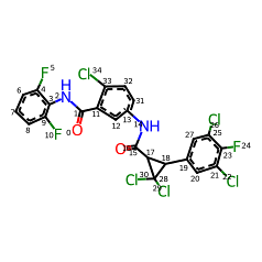 O=C(Nc1c(F)cccc1F)c1cc(NC(=O)C2C(c3cc(Cl)c(F)c(Cl)c3)C2(Cl)Cl)ccc1Cl